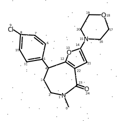 CN1CCC(c2ccc(Cl)cc2)c2oc(N3CCOCC3)cc2C1=O